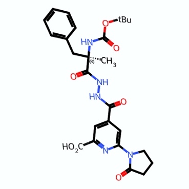 CC(C)(C)OC(=O)N[C@](C)(Cc1ccccc1)C(=O)NNC(=O)c1cc(C(=O)O)nc(N2CCCC2=O)c1